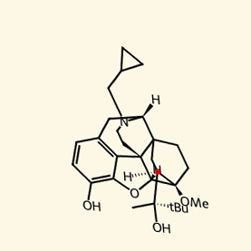 CO[C@]12CCC3(C[C@@H]1[C@](C)(O)C(C)(C)C)[C@H]1Cc4ccc(O)c5c4[C@@]3(CCN1CC1CC1)[C@H]2O5